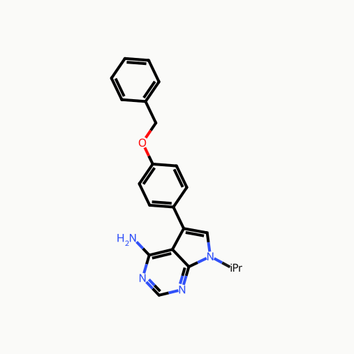 CC(C)n1cc(-c2ccc(OCc3ccccc3)cc2)c2c(N)ncnc21